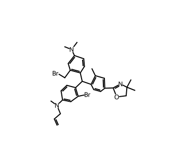 C=CCN(C)c1ccc(C(c2ccc(C3=NC(C)(C)CO3)cc2C)c2ccc(N(C)C)cc2CBr)c(Br)c1